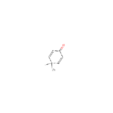 CC(C)C1(C)C=CC(=O)C=C1